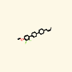 C=COc1ccc(C2=CCC(C3CCC(C/C=C\C)CC3)CC2)c(F)c1F